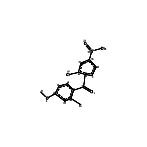 COc1ccc(C(=O)c2ccc([N+](=O)[O-])cc2Cl)c(C)c1